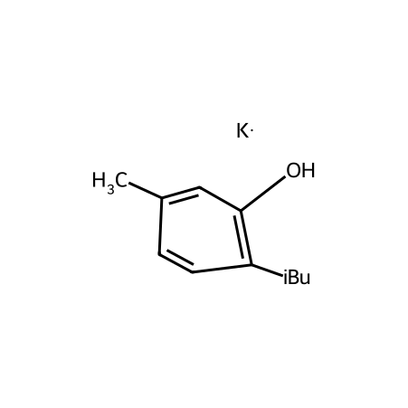 CCC(C)c1ccc(C)cc1O.[K]